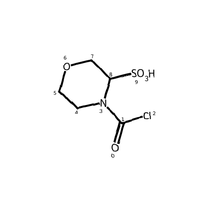 O=C(Cl)N1CCOCC1S(=O)(=O)O